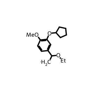 [CH2]C(OCC)c1ccc(OC)c(OC2CCCC2)c1